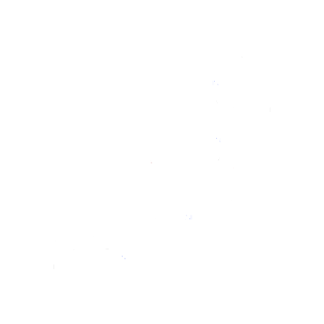 Cc1cc(C)c(CNC(=O)c2cc(Br)cc(NC3CCC(NC(=O)OC(C)(C)C)CC3)c2C)c(=O)[nH]1